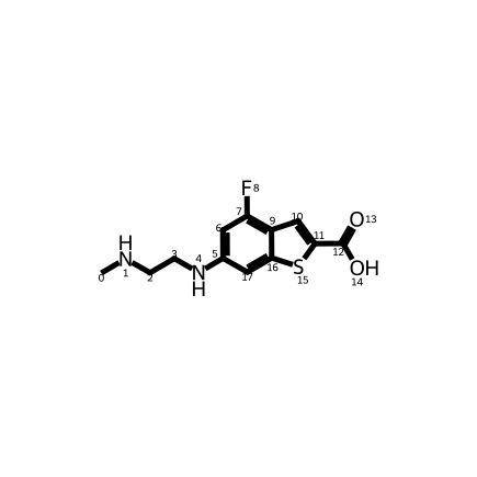 CNCCNc1cc(F)c2cc(C(=O)O)sc2c1